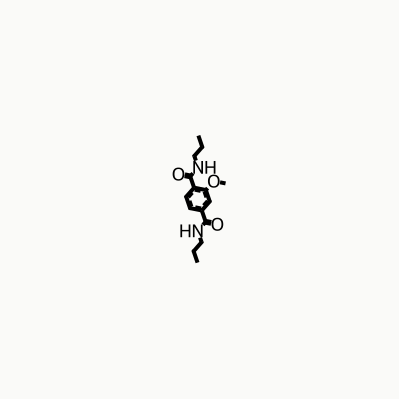 CCCNC(=O)c1ccc(C(=O)NCCC)c(OC)c1